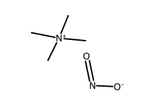 C[N+](C)(C)C.O=N[O-]